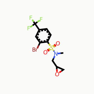 CN(CC1CO1)S(=O)(=O)c1ccc(C(F)(F)F)cc1Br